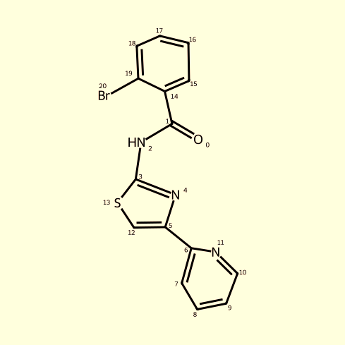 O=C(Nc1nc(-c2ccccn2)cs1)c1ccccc1Br